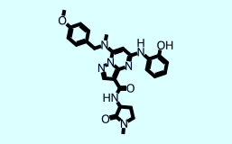 COc1ccc(CN(C)c2cc(Nc3ccccc3O)nc3c(C(=O)NC4CCN(C)C4=O)cnn23)cc1